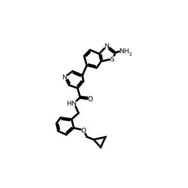 Nc1nc2ccc(-c3cncc(C(=O)NCc4ccccc4OCC4CC4)c3)cc2s1